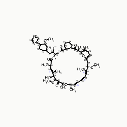 COC1CC(CC(C)[C@@H]2CC(=O)C(C)/C=C(\C)C(O)C(OC)C(=O)C(C)C[C@H](C)/C=C/C=C/C=C(\C)[C@@H](OC)C[C@@H]3CCC(C)C(O)(O3)C(=O)C(=O)N3CCCCC3C(=O)O2)CCC1n1ncnn1